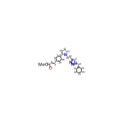 COC(=O)C=Cc1ccc(C2CCCN2CCc2cn(Cc3ccccc3)nn2)cc1